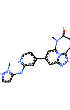 CN1C(=O)CCc2nnc3cc(-c4ccnc(Nc5ccnn5C)c4)cc1n23